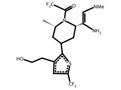 CN/C=C(\N)[C@@H]1CC(c2sc(C(F)(F)F)cc2CCO)C[C@H](C)N1C(=O)C(F)(F)F